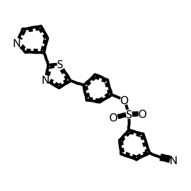 N#Cc1cccc(S(=O)(=O)Oc2ccc(-c3cnc(-c4cccnc4)s3)cc2)c1